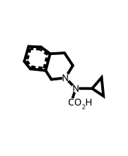 O=C(O)N(C1CC1)N1CCc2ccccc2C1